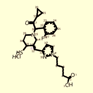 Cl.O=C(O)CCCCn1ccc(/C=C2\CN(C(C(=O)C3CC3)c3ccccc3F)CCC2S)n1